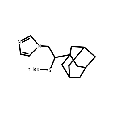 CCCCCCSC(Cn1ccnc1)C12CC3CC(CC(C3)C1)C2